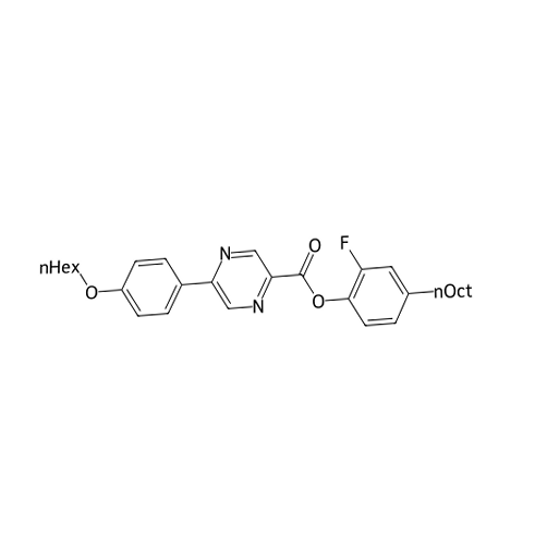 CCCCCCCCc1ccc(OC(=O)c2cnc(-c3ccc(OCCCCCC)cc3)cn2)c(F)c1